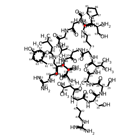 CC(C)C[C@H](NC(=O)[C@H](CCCNC(=N)N)NC(=O)[C@@H](NC(=O)[C@H](C)NC(=O)[C@H](CO)NC(=O)[C@H](CO)NC(=O)[C@H](CCCNC(=N)N)NC(=O)[C@@H](NC(=O)[C@H](C)NC(=O)[C@H](Cc1ccc(O)cc1)NC(=O)[C@@H](NC(=O)CNC(=O)CNC(=O)[C@@H]1CCCN1C(=O)[C@@H](N)CO)C(C)C)[C@@H](C)O)C(C)C)C(=O)N[C@@H](CCCNC(=N)N)C(=O)O